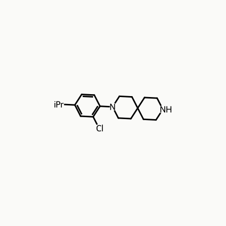 CC(C)c1ccc(N2CCC3(CCNCC3)CC2)c(Cl)c1